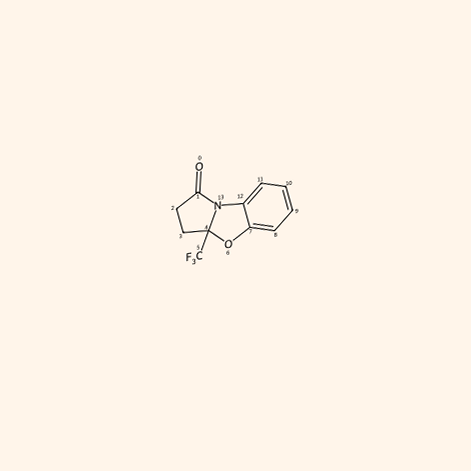 O=C1CCC2(C(F)(F)F)Oc3ccccc3N12